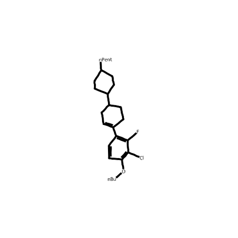 CCCCCC1CCC(C2CC=C(c3ccc(OCCCC)c(Cl)c3F)CC2)CC1